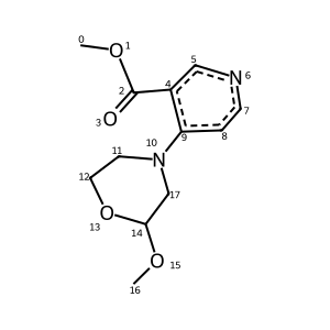 COC(=O)c1cnccc1N1CCOC(OC)C1